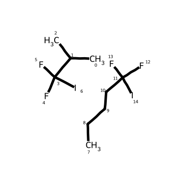 CC(C)C(F)(F)I.CCCCC(F)(F)I